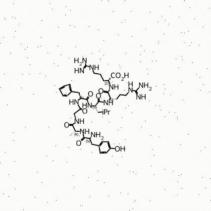 CC(C)C[C@H](NC(=O)[C@H](Cc1ccccc1)NC(=O)CNC(=O)[C@@H](C)NC(=O)[C@@H](N)Cc1ccc(O)cc1)C(=O)N[C@@H](CCCNC(=N)N)C(=O)N[C@@H](CCCNC(=N)N)C(=O)O